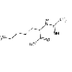 CC(=N)NC(CCCCN)C(=O)O